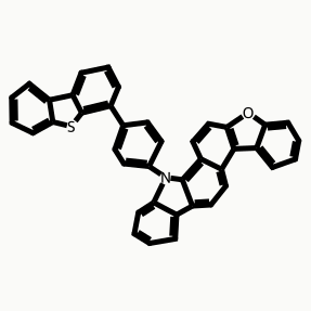 c1ccc2c(c1)oc1ccc3c(ccc4c5ccccc5n(-c5ccc(-c6cccc7c6sc6ccccc67)cc5)c34)c12